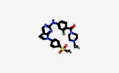 CN1CCN(C(=O)c2ccc(Nc3ncc4ccn(-c5ccc(S(C)(=O)=O)cc5)c4n3)cc2Cl)CC1